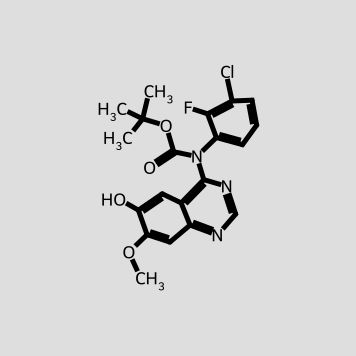 COc1cc2ncnc(N(C(=O)OC(C)(C)C)c3cccc(Cl)c3F)c2cc1O